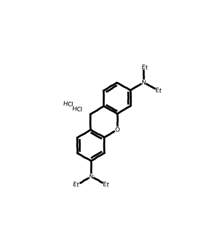 CCN(CC)c1ccc2c(c1)Oc1cc(N(CC)CC)ccc1C2.Cl.Cl